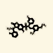 COc1ccc(CN(c2cccc(F)n2)S(=O)(=O)c2cc3oc(=O)n([C@H](C)c4ccccc4I)c3cc2F)c(C)c1